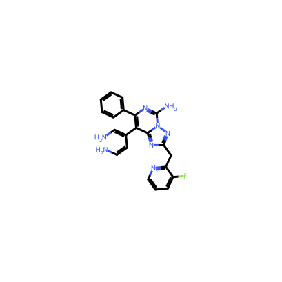 N/C=C\C(=C/N)c1c(-c2ccccc2)nc(N)n2nc(Cc3ncccc3F)nc12